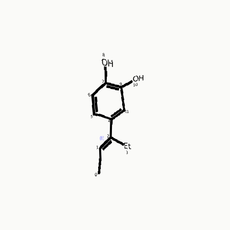 C/C=C(\CC)c1ccc(O)c(O)c1